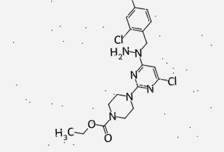 CCOC(=O)N1CCN(c2nc(Cl)cc(N(N)Cc3ccc(Cl)cc3Cl)n2)CC1